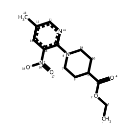 CCOC(=O)C1CCN(c2ncc(C)cc2[N+](=O)[O-])CC1